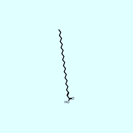 CCCCCCCCCCCCCCCCCCCCCC=CC(=O)O